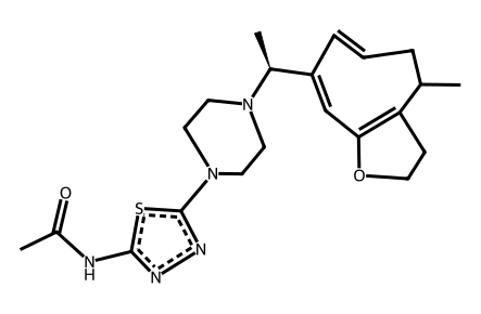 CC(=O)Nc1nnc(N2CCN([C@@H](C)C3=C/C4=C(CCO4)C(C)C\C=C\3)CC2)s1